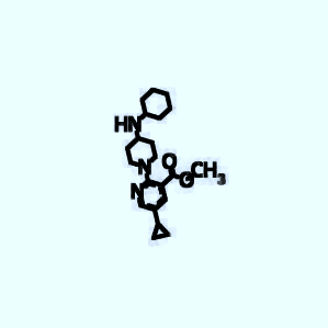 COC(=O)c1cc(C2CC2)cnc1N1CCC(NC2CCCCC2)CC1